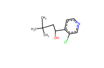 CC(C)(C)CC(O)c1ccncc1Cl